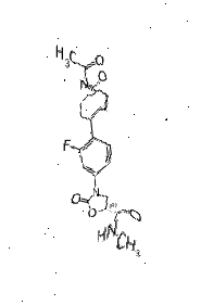 CNC(=O)[C@H]1CN(c2ccc(C3=CCS(=O)(=NC(C)=O)CC3)c(F)c2)C(=O)O1